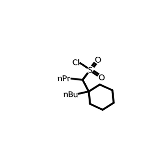 CCCCC1(C(CCC)S(=O)(=O)Cl)CCCCC1